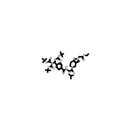 CCOC(=O)Cn1cc2c(n1)CCN(C(=O)[C@H](CC(C)C)NC(=O)c1ccc(C(=NC(=O)OC(C)(C)C)N(C(=O)OC(C)(C)C)C(=O)OC(C)(C)C)cc1)C2